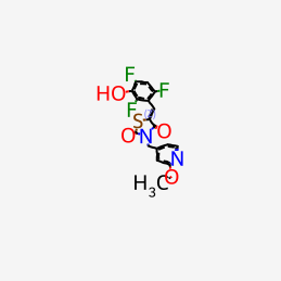 COc1cc(CN2C(=O)S/C(=C\c3c(F)cc(F)c(O)c3F)C2=O)ccn1